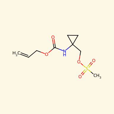 C=CCOC(=O)NC1(COS(C)(=O)=O)CC1